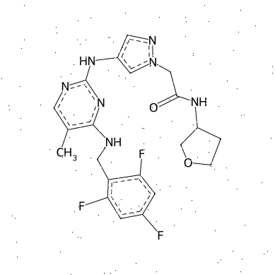 Cc1cnc(Nc2cnn(CC(=O)NC3CCOC3)c2)nc1NCc1c(F)cc(F)cc1F